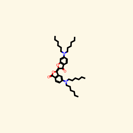 CCCCCCN(CCCCCC)c1ccc2c(c1)OC(=C1OC(=O)c3ccc(N(CCCCCC)CCCCCC)cc31)C2=O